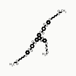 C=CC(=O)OCCCCCCOc1ccc(OC(=O)C2CCC(C(=O)Oc3ccc4c5ccc(OC(=O)C6CCC(C(=O)Oc7ccc(OCCCCCCOC(=O)C=C)cc7)CC6)cc5c5nc6cc(OCCOCCOC)ccc6nc5c4c3)CC2)cc1